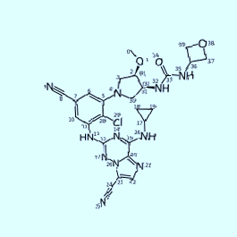 CO[C@@H]1CN(c2cc(C#N)cc(Nc3nc(NC4CC4)c4ncc(C#N)n4n3)c2Cl)C[C@@H]1NC(=O)NC1COC1